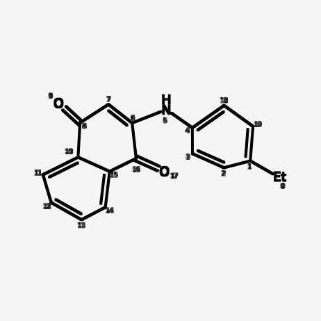 CCc1ccc(NC2=CC(=O)c3ccccc3C2=O)cc1